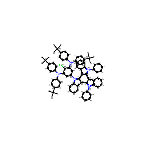 CC(C)(C)c1ccc(N(c2ccc(C(C)(C)C)cc2)c2cc(-n3c4ccccc4c4c5c(c6ccccc6n5-c5ccccc5)c5c(c6ccccc6n5-c5ccccc5)c43)cc(N(c3ccc(C(C)(C)C)cc3)c3ccc(C(C)(C)C)cc3)c2Cl)cc1